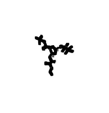 CCOC(=O)C(F)=C[C@@H]1C[C@@H](O[Si](C)(C)C(C)(C)C)CN1C(=O)OC(C)(C)C